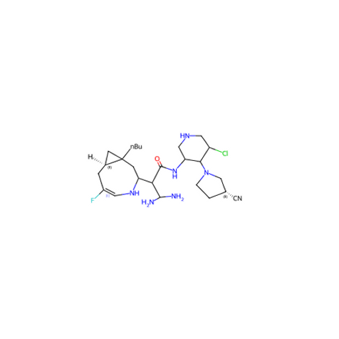 CCCCC12CC(C(C(=O)NC3CNCC(Cl)C3N3CC[C@@H](C#N)C3)C(N)N)N/C=C(/F)C[C@H]1C2